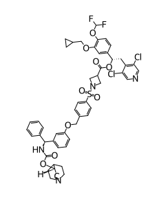 O=C(N[C@@H](c1ccccc1)c1cccc(OCc2ccc(S(=O)(=O)N3CC(C(=O)O[C@@H](Cc4c(Cl)cncc4Cl)c4ccc(OC(F)F)c(OCC5CC5)c4)C3)cc2)c1)O[C@H]1CN2CCC1CC2